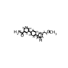 COCCN1C[C@@H]2C[C@]2(c2ccc(-c3cncc(C(N)=O)c3)cc2)C1